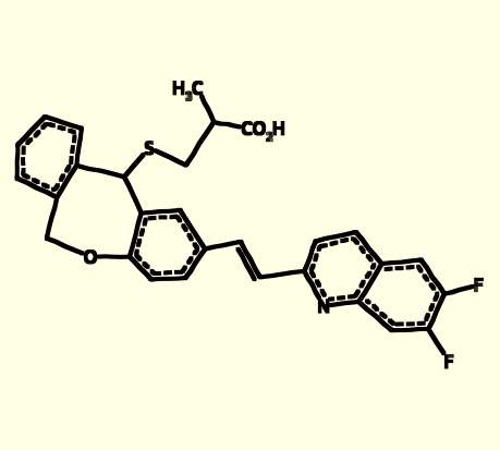 CC(CSC1c2ccccc2COc2ccc(/C=C/c3ccc4cc(F)c(F)cc4n3)cc21)C(=O)O